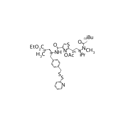 CCOC(=O)[C@@H](C)C[C@H](Cc1ccc(CSSc2ccccn2)cc1)NC(=O)c1csc([C@@H](C[C@H](C(C)C)N(C)C(=O)C[C@@H](C)CC)OC(C)=O)n1